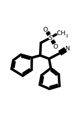 CS(=O)(=O)CC(c1ccccc1)C(C#N)c1ccccc1